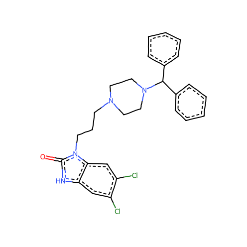 O=c1[nH]c2cc(Cl)c(Cl)cc2n1CCCN1CCN(C(c2ccccc2)c2ccccc2)CC1